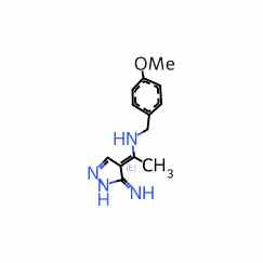 COc1ccc(CN/C(C)=C2\C=NNC2=N)cc1